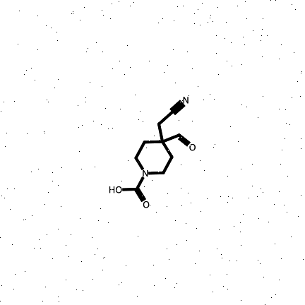 N#CCC1(C=O)CCN(C(=O)O)CC1